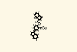 CCCCc1cc(C2C=Cc3ccccc32)cc[c]1[Zr][CH2]C1C=Cc2ccccc21